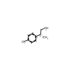 C[C@@H](CO)c1ccc(Cl)cc1